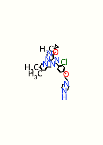 Cc1cnc(Cn2c(-c3ccc(OCCN4CCNCC4)cc3Cl)nc3c(OC4(C)CC4)ncnc32)cc1C